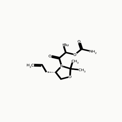 C=CC[C@H]1COC(C)(C)N1C(=O)C(OC(N)=O)C(C)(C)C